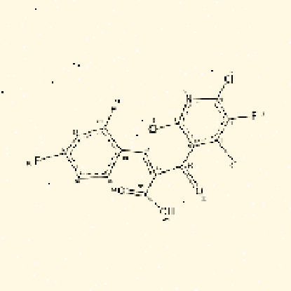 Cc1c(F)c(Cl)nc(Cl)c1C(=O)C(=Cc1ccc(F)cc1F)C(=O)O